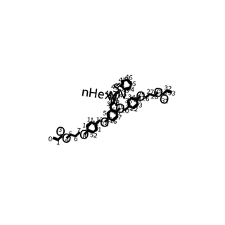 C=CC(=O)OCCCOc1ccc(COc2ccc(OCc3ccc(OCCCOC(=O)C=C)cc3)c(/C=N/N(CCCCCC)c3nc4ccccc4s3)c2)cc1